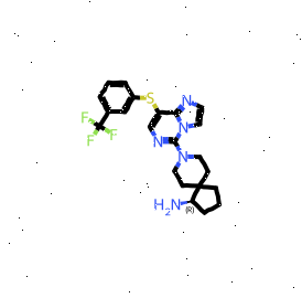 N[C@@H]1CCCC12CCN(c1ncc(Sc3cccc(C(F)(F)F)c3)c3nccn13)CC2